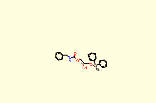 CC(C)(C)[Si](OC[C@H](O)COC(=O)NCc1ccccc1)(c1ccccc1)c1ccccc1